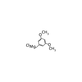 COc1cc([CH2][Mg][Cl])cc(OC)c1